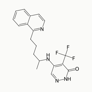 CC(CCCc1nccc2ccccc12)Nc1cn[nH]c(=O)c1C(F)(F)F